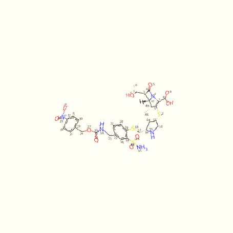 C[C@@H](O)[C@H]1C(=O)N2C(C(=O)O)=C(S[C@@H]3CN[C@H](CSc4ccc(CNC(=O)OCc5ccc([N+](=O)[O-])cc5)cc4S(N)(=O)=O)C3)[C@H](C)[C@H]12